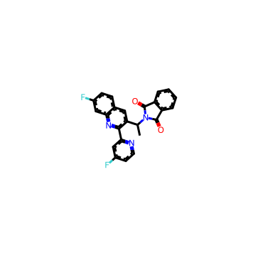 CC(c1cc2ccc(F)cc2nc1-c1cc(F)ccn1)N1C(=O)c2ccccc2C1=O